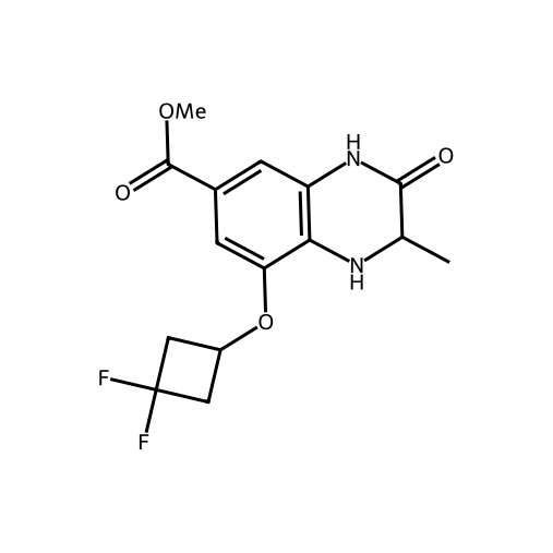 COC(=O)c1cc2c(c(OC3CC(F)(F)C3)c1)NC(C)C(=O)N2